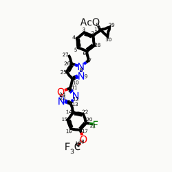 CC(=O)OC1(c2cccc(Cn3nc(-c4nc(-c5ccc(OC(F)(F)F)c(F)c5)no4)cc3C)c2)CC1